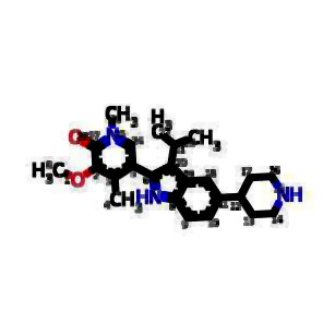 COc1c(C)c(-c2[nH]c3ccc(C4CCNCC4)cc3c2C(C)C)cn(C)c1=O